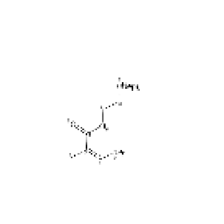 CCCC=C(C)C(=O)OCCCCCCCCC